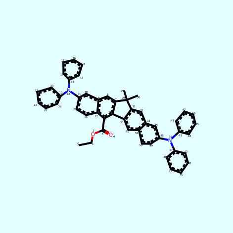 CCOC(=O)c1c2c(cc3cc(N(c4ccccc4)c4ccccc4)ccc13)C(C)(C)c1cc3cc(N(c4ccccc4)c4ccccc4)ccc3cc1-2